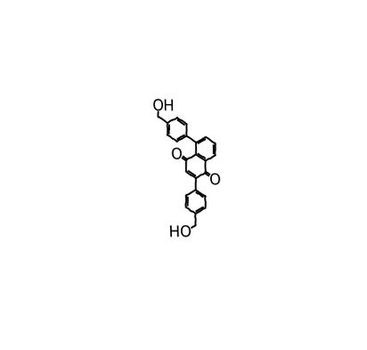 O=C1C(c2ccc(CO)cc2)=CC(=O)c2c1cccc2-c1ccc(CO)cc1